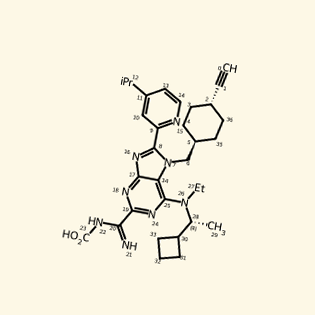 C#C[C@H]1CC[C@H](Cn2c(-c3cc(C(C)C)ccn3)nc3nc(C(=N)NC(=O)O)nc(N(CC)[C@H](C)C4CCC4)c32)CC1